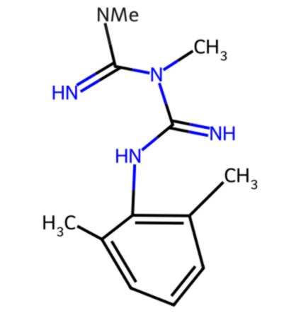 CNC(=N)N(C)C(=N)Nc1c(C)cccc1C